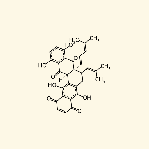 CC(C)=C/C=C/[C@@]12C(=O)c3c(O)ccc(O)c3C(=O)[C@@H]1c1c(O)c3c(c(O)c1C[C@@H]2C=C(C)C)C(=O)C=CC3=O